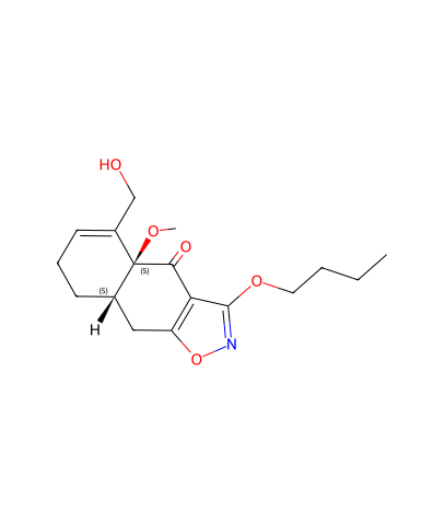 CCCCOc1noc2c1C(=O)[C@@]1(OC)C(CO)=CCC[C@H]1C2